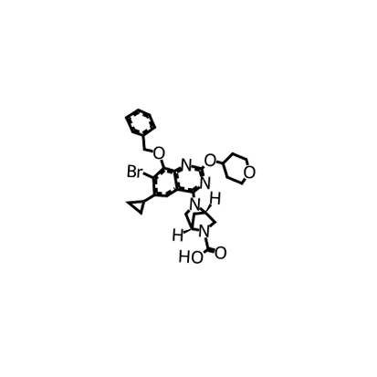 O=C(O)N1C[C@@H]2C[C@H]1CN2c1nc(OC2CCOCC2)nc2c(OCc3ccccc3)c(Br)c(C3CC3)cc12